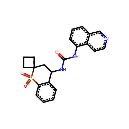 O=C(Nc1cccc2cnccc12)NC1CC2(CCC2)S(=O)(=O)c2ccccc21